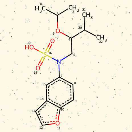 CC(C)OC(CN(c1ccc2occc2c1)S(=O)(=O)O)C(C)C